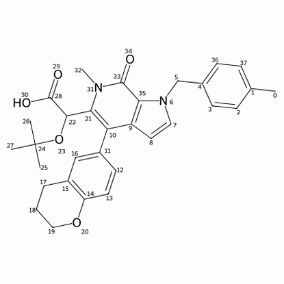 Cc1ccc(Cn2ccc3c(-c4ccc5c(c4)CCCO5)c(C(OC(C)(C)C)C(=O)O)n(C)c(=O)c32)cc1